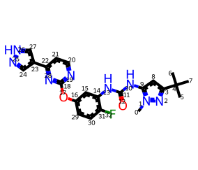 Cn1nc(C(C)(C)C)cc1NC(=O)Nc1cc(Oc2nccc(-c3cn[nH]c3)n2)ccc1F